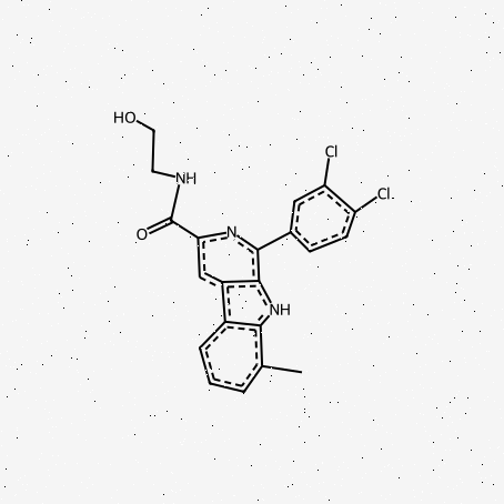 Cc1cccc2c1[nH]c1c(-c3ccc(Cl)c(Cl)c3)nc(C(=O)NCCO)cc12